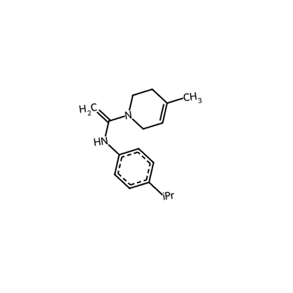 C=C(Nc1ccc(C(C)C)cc1)N1CC=C(C)CC1